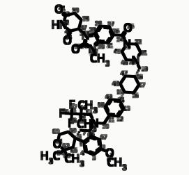 COc1ccc([C@]2(CCN(Cc3ccc([C@H]4CC[C@@H](CN5CCN(C(=O)c6ccc7c(c6)n(C)c(=O)n7C6CCC(=O)NC6=O)CC5)CC4)cc3)CC(C)(C)C(F)(F)F)CCOC(C)(C)C2)cc1